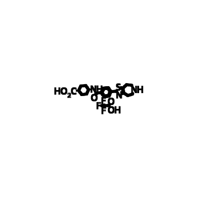 O=C(N[C@H]1CC[C@H](C(=O)O)CC1)c1ccc(-c2nc3c(s2)CCNCC3)cc1.O=C(O)C(F)(F)F